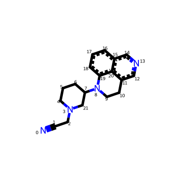 N#CCN1CCCC(N2CCc3cncc4cccc2c34)C1